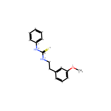 COc1cccc(CCNC(=S)Nc2ccccc2)c1